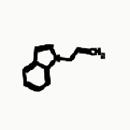 C=CCn1[c]cc2ccccc21